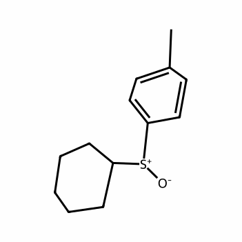 Cc1ccc([S+]([O-])C2CCCCC2)cc1